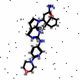 NC(=O)CC(n1ccc2cnc(Nc3ccc(N4CCOCC4)nc3)nc21)C1(C(=O)O)CCCC1